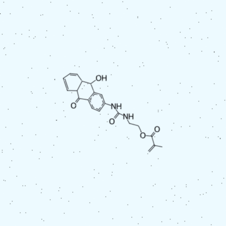 C=C(C)C(=O)OCCNC(=O)Nc1ccc2c(c1)C(O)C1C=CC=CC1C2=O